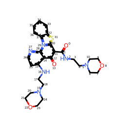 O=C(NCCN1CCOCC1)c1c(=O)c2c(NCCN3CCOCC3)ccnc2n2c1sc1ccccc12